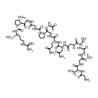 C[C@@H](O)[C@H](NC(=O)CN)C(=O)NCC(=O)N[C@@H](CO)C(=O)N[C@H](C(=O)NCC(=O)N[C@@H](CC(N)=O)C(=O)N[C@@H](CCC(N)=O)C(=O)N[C@@H](CC(N)=O)C(=O)N1CCC[C@H]1C(=O)NCC(=O)N[C@@H](CO)C(=O)N1CCC[C@H]1C(=O)N[C@@H](CCCNC(=N)N)C(=O)O)[C@@H](C)O